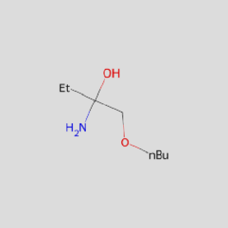 CCCCOCC(N)(O)CC